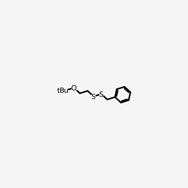 CC(C)(C)OCCSSCc1ccccc1